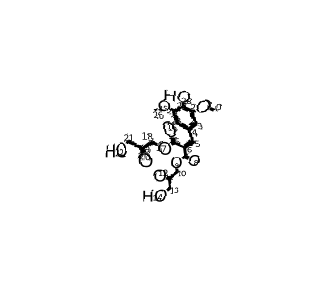 COc1cc(C=C(C(=O)OCC(=O)CO)C(=O)OCC(=O)CO)cc(OC)c1O